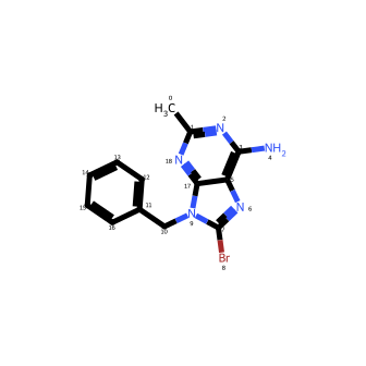 Cc1nc(N)c2nc(Br)n(Cc3ccccc3)c2n1